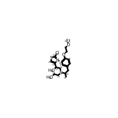 CCOCCOc1ccc(CC(C)N(CCO)CC(O)c2csc(Cl)n2)cc1